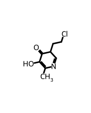 CC1=C(O)C(=O)C(CCCl)C=N1